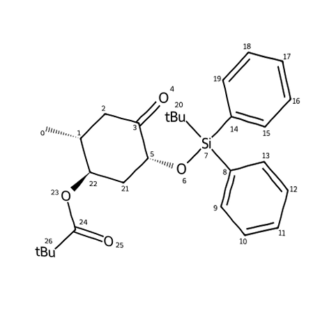 C[C@@H]1CC(=O)[C@H](O[Si](c2ccccc2)(c2ccccc2)C(C)(C)C)C[C@H]1OC(=O)C(C)(C)C